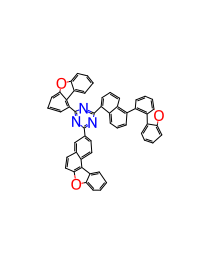 c1ccc2c(c1)oc1cccc(-c3nc(-c4ccc5c(ccc6oc7ccccc7c65)c4)nc(-c4cccc5c(-c6cccc7oc8ccccc8c67)cccc45)n3)c12